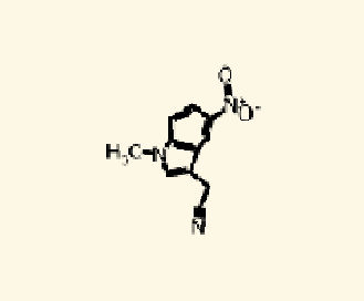 Cn1cc(CC#N)c2cc([N+](=O)[O-])ccc21